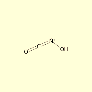 O=C=[N+]O